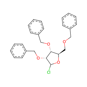 ClC1O[C@H](COCc2ccccc2)[C@@H](OCc2ccccc2)[C@H]1OCc1ccccc1